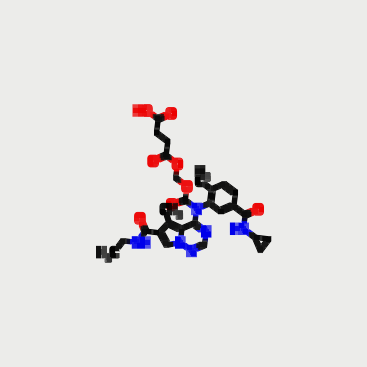 CCNC(=O)c1cn2ncnc(N(C(=O)OCOC(=O)CCC(=O)O)c3cc(C(=O)NC4CC4)ccc3C)c2c1C